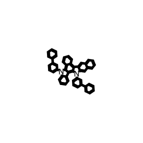 c1ccc(-c2cccc(-n3c4ccccc4c4c3c3ccccc3c3c5cc6ccccc6cc5n(-c5cccc(-c6ccccc6)c5)c34)c2)cc1